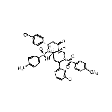 Cc1ccc(S(=O)(=O)N2C[C@H]3C(=O)C[C@@H](c4ccc(Cl)cc4)N(S(=O)(=O)c4ccc(C)cc4)[C@H]3CC2c2cccc(Cl)c2)cc1